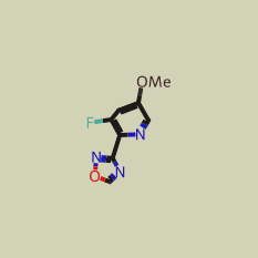 COc1cnc(-c2ncon2)c(F)c1